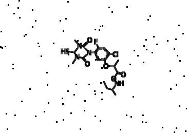 CCC(C)NOC(=O)C(C)Oc1cc(N2C(=O)N(C)C(S)N(C)C2=O)c(F)cc1Cl